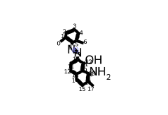 Cc1cccc(C)c1/N=N/c1ccc2ccc(C)c(N)c2c1O